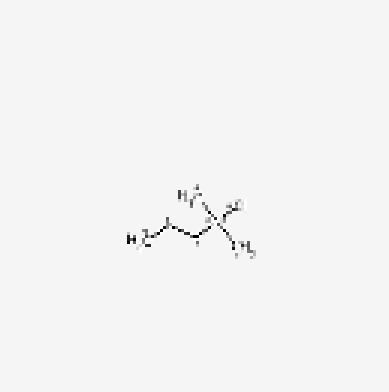 CCC[N+](C)(C)Cl